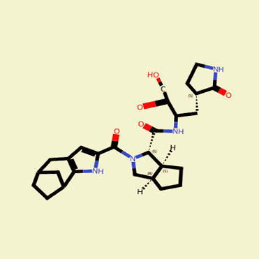 O=C(CO)C(C[C@@H]1CCNC1=O)NC(=O)[C@@H]1[C@H]2CCC[C@H]2CN1C(=O)c1cc2c([nH]1)C1CCC(C2)C1